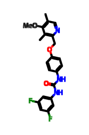 COc1c(C)cnc(COc2ccc(NC(=O)Nc3cc(F)cc(F)c3)cc2)c1C